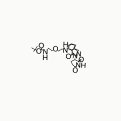 CC(C)(C)OC(=O)NCCOCCNc1cccc2cnn(C3CCC(=O)NC3=O)c(=O)c12